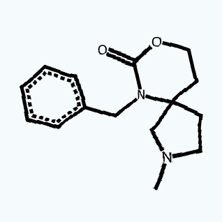 CN1CCC2(CCOC(=O)N2Cc2ccccc2)C1